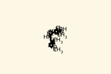 COc1cccc2c1cc(C)n2CCNc1cc(-c2cc(C)c(C(=O)O)c(Cl)c2)ncn1